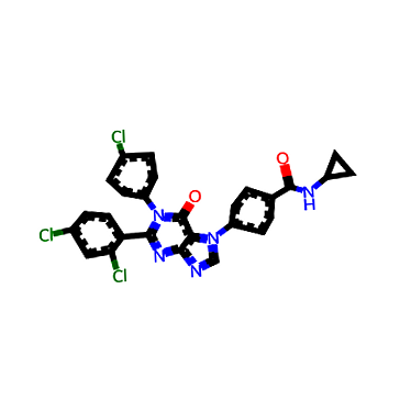 O=C(NC1CC1)c1ccc(-n2cnc3nc(-c4ccc(Cl)cc4Cl)n(-c4ccc(Cl)cc4)c(=O)c32)cc1